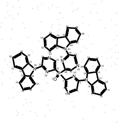 O=P(c1cncc(-n2c3ccccc3c3ccccc32)n1)(c1cncc(-n2c3ccccc3c3ccccc32)n1)c1cncc(-n2c3ccccc3c3ccccc32)n1